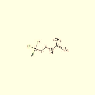 C=C(C)[SiH]CCC(F)(F)F